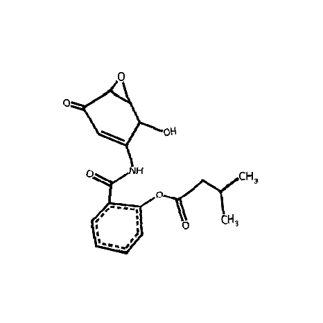 CC(C)CC(=O)Oc1ccccc1C(=O)NC1=CC(=O)C2OC2C1O